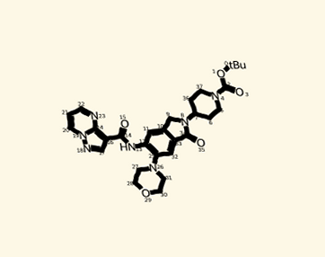 CC(C)(C)OC(=O)N1CCC(N2Cc3cc(NC(=O)c4cnn5cccnc45)c(N4CCOCC4)cc3C2=O)CC1